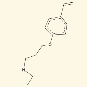 C=Cc1ccc(OCCCN(C)CC)cc1